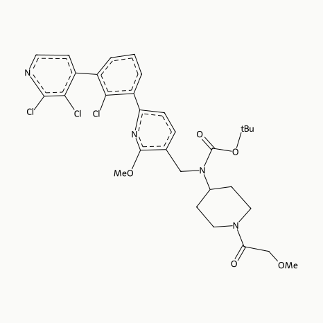 COCC(=O)N1CCC(N(Cc2ccc(-c3cccc(-c4ccnc(Cl)c4Cl)c3Cl)nc2OC)C(=O)OC(C)(C)C)CC1